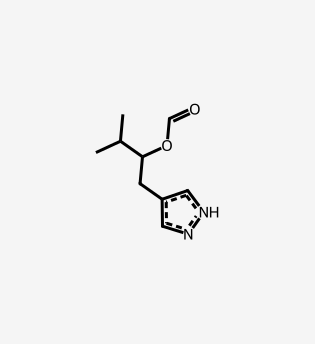 CC(C)C(Cc1cn[nH]c1)OC=O